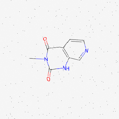 Cn1c(=O)[nH]c2cnccc2c1=O